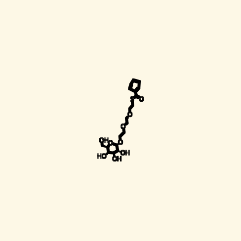 O=C(SCCOCCOCCO[C@H]1O[C@H](CO)[C@H](O)[C@H](O)[C@H]1O)c1ccccc1